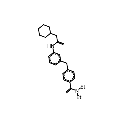 C=C(CC1CCCCC1)Nc1cccc(Cc2ccc(C(=C)N(CC)CC)cc2)c1